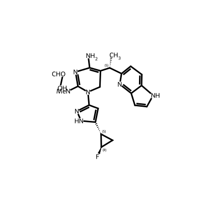 CNC1=NC(N)=C([C@H](C)c2ccc3[nH]ccc3n2)CN1c1cc([C@@H]2C[C@H]2F)[nH]n1.O=CO